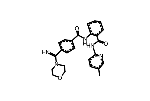 Cc1ccc(NC(=O)c2ccccc2NC(=O)c2ccc(C(=N)N3CCOCC3)cc2)nc1